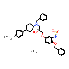 C.CCOC(=O)c1ccc(C2CCC(N(Cc3ccccc3)C[C@H](O)COc3ccc(OCc4ccccc4)c(N=S(=O)=O)c3)CC2)cc1